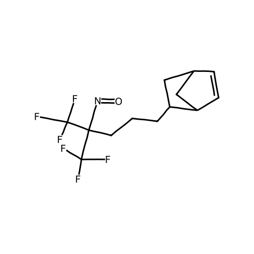 O=NC(CCCC1CC2C=CC1C2)(C(F)(F)F)C(F)(F)F